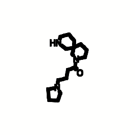 O=C(CCCN1CCCC1)N1CCCC2(CCCNC2)C1